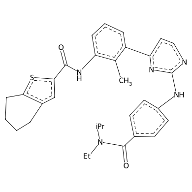 CCN(C(=O)c1ccc(Nc2nccc(-c3cccc(NC(=O)c4cc5c(s4)CCCC5)c3C)n2)cc1)C(C)C